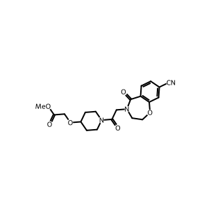 COC(=O)COC1CCN(C(=O)CN2CCOc3cc(C#N)ccc3C2=O)CC1